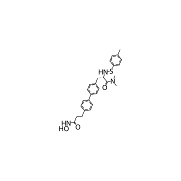 Cc1ccc(SN[C@@H](Cc2ccc(-c3ccc(CCC(=O)NO)cc3)cc2)C(=O)N(C)C)cc1